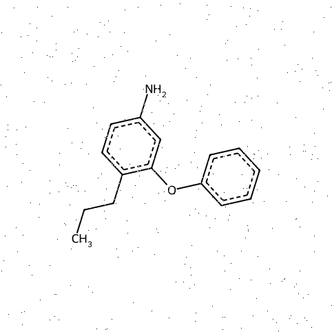 CCCc1ccc(N)cc1Oc1ccccc1